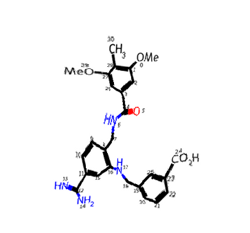 COc1cc(C(=O)NCc2ccc(C(=N)N)cc2NCc2cccc(C(=O)O)c2)cc(OC)c1C